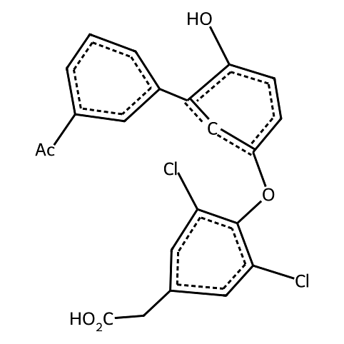 CC(=O)c1cccc(-c2cc(Oc3c(Cl)cc(CC(=O)O)cc3Cl)ccc2O)c1